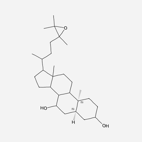 CC(CCC1(C)OC1(C)C)C1CCC2C3C(O)C[C@@H]4CC(O)CC[C@]4(C)C3CCC12C